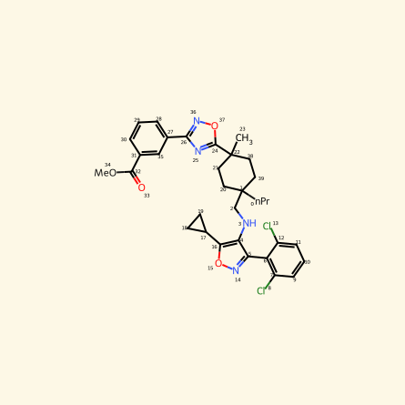 CCCC1(CNc2c(-c3c(Cl)cccc3Cl)noc2C2CC2)CCC(C)(c2nc(-c3cccc(C(=O)OC)c3)no2)CC1